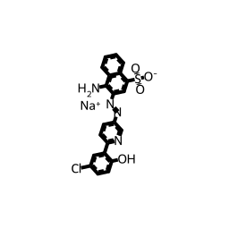 Nc1c(N=Nc2ccc(-c3cc(Cl)ccc3O)nc2)cc(S(=O)(=O)[O-])c2ccccc12.[Na+]